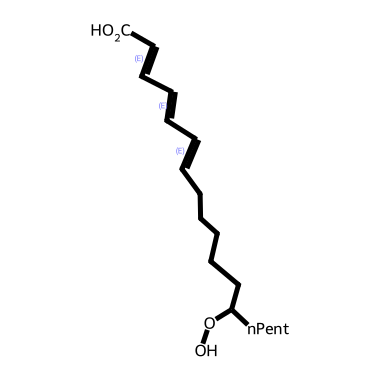 CCCCCC(CCCCC/C=C/C=C/C=C/C(=O)O)OO